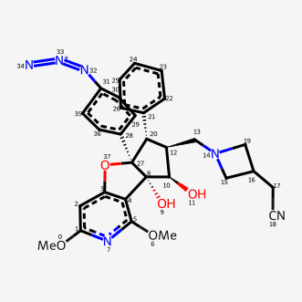 COc1cc2c(c(OC)n1)[C@]1(O)[C@H](O)[C@H](CN3CC(CC#N)C3)[C@@H](c3ccccc3)[C@]1(c1ccc(N=[N+]=[N-])cc1)O2